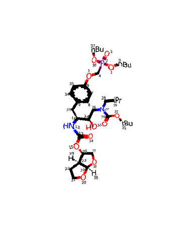 CCCCOP(=O)(COc1ccc(C[C@H](NC(=O)O[C@H]2CO[C@H]3OCC[C@H]32)[C@H](O)CN(CC(C)C)C(=O)OC(C)(C)C)cc1)OCCCC